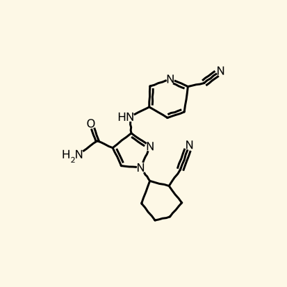 N#Cc1ccc(Nc2nn(C3CCCCC3C#N)cc2C(N)=O)cn1